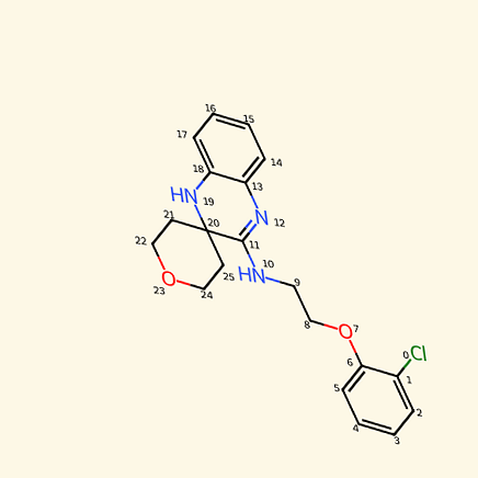 Clc1ccccc1OCCNC1=Nc2ccccc2NC12CCOCC2